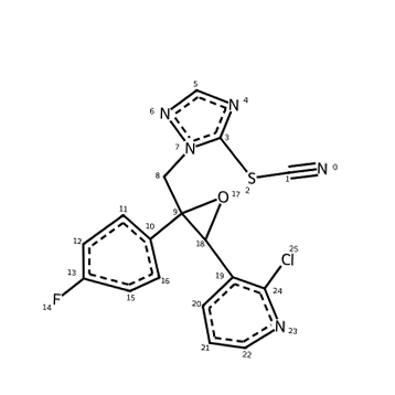 N#CSc1ncnn1CC1(c2ccc(F)cc2)OC1c1cccnc1Cl